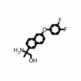 CC(N)(CO)c1ccc2cc(Oc3ccc(F)c(F)c3)ccc2c1